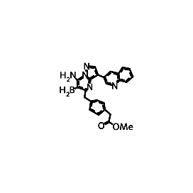 Bc1c(Cc2ccc(CC(=O)OC)cc2)nc2c(-c3cnc4ccccc4c3)cnn2c1N